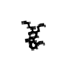 CCCC(Sc1c[nH]c2cccc(C)c12)C(=O)NCCO